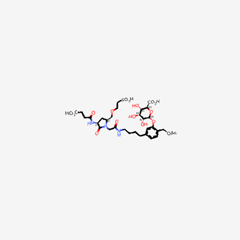 CC(=O)OCc1ccc(CCCCNC(=O)CN2C(=O)[C@@H](NC(=O)CCC(=O)O)C[C@H]2COCCS(=O)(=O)O)cc1O[C@@H]1O[C@H](C(=O)O)[C@@H](O)[C@H](O)[C@H]1O